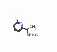 CCCCCC(C)c1cccc(F)n1